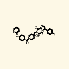 O=c1c2ncc(-c3ccc(F)cc3)n2ncn1CC1(O)CCN(C(=O)[C@H]2CC[C@@H](Oc3ccccn3)CC2)CC1